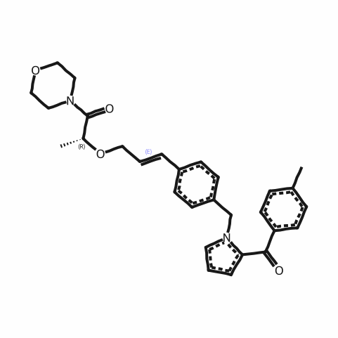 Cc1ccc(C(=O)c2cccn2Cc2ccc(/C=C/CO[C@H](C)C(=O)N3CCOCC3)cc2)cc1